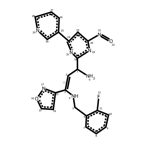 NC(/C=C(\NCc1ccccc1F)c1ccon1)c1nc(N=O)cc(-c2cccnc2)n1